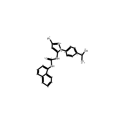 CC(C)c1cc(NC(=O)Nc2cccc3ccccc23)n(-c2ccc(C(O)C(F)(F)F)cc2)n1